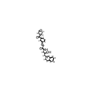 O=C(COc1cccc(C(=O)N2CCOCC2)c1)NCC(O)CN1CCc2ccccc2C1